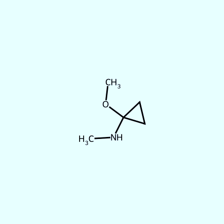 CNC1(OC)CC1